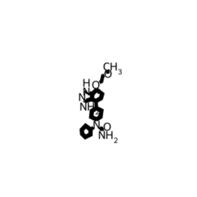 COCCOc1ccc(-c2ccc(N(C(N)=O)c3ccccc3)cc2)c2c(N)n[nH]c12